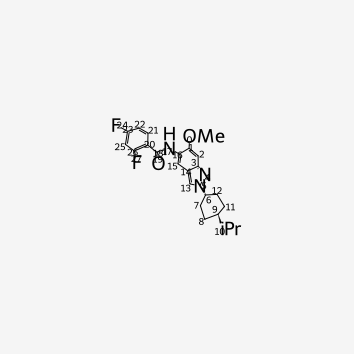 COc1cc2nn([C@H]3CC[C@H](C(C)C)CC3)cc2cc1NC(=O)c1ccc(F)cc1F